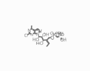 C/C=C(/COP(=O)(O)CP(=O)(O)O)[C@@H](O)[C@@H](O)[C@@H](O)n1ncc2c(C)nc(Cl)nc21